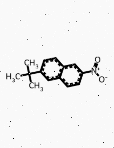 CC(C)(C)c1ccc2cc([N+](=O)[O-])ccc2c1